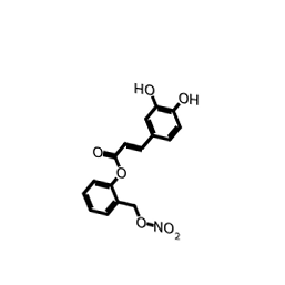 O=C(C=Cc1ccc(O)c(O)c1)Oc1ccccc1CO[N+](=O)[O-]